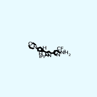 CC(C)n1nc(-c2cnc(N)c(C(F)(F)F)c2)cc1C1[C@H]2CC(N3CCCOCC3)C[C@@H]12